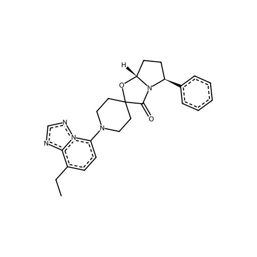 CCc1ccc(N2CCC3(CC2)O[C@@H]2CC[C@@H](c4ccccc4)N2C3=O)n2ncnc12